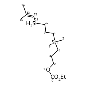 CCOC(=O)OCCC[Si](C)(C)CCC[SiH2]C=C(C)C